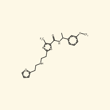 CC(NC(=O)c1sc(CCNCCc2ccco2)nc1C(F)(F)F)c1cccc(OC(F)(F)F)c1